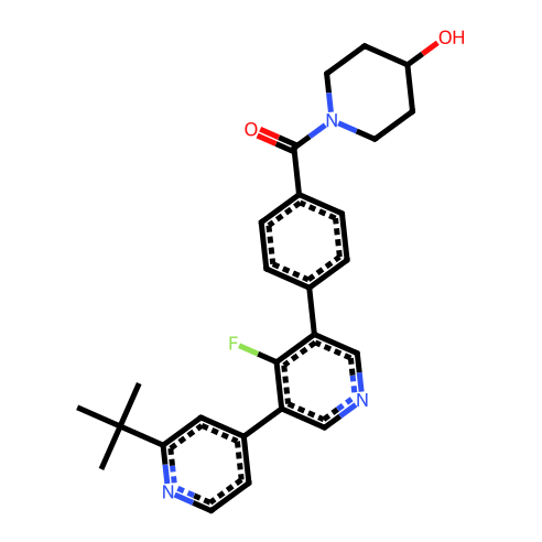 CC(C)(C)c1cc(-c2cncc(-c3ccc(C(=O)N4CCC(O)CC4)cc3)c2F)ccn1